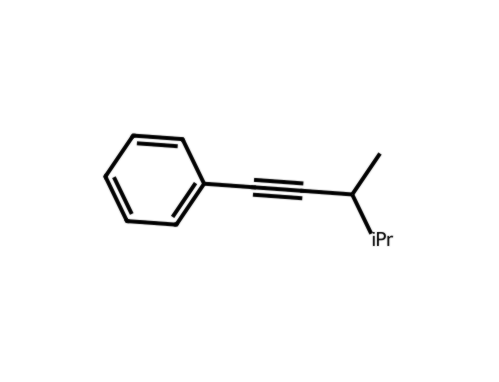 CC(C)C(C)C#Cc1ccccc1